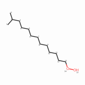 CC(C)CCCCCCCCCCCOO